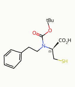 CC(C)(C)OC(=O)N(CCc1ccccc1)[C@H](CS)C(=O)O